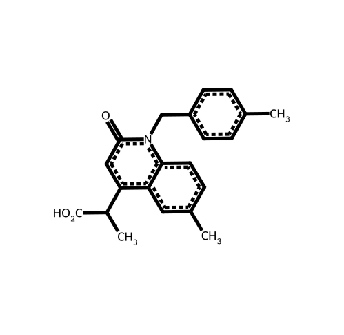 Cc1ccc(Cn2c(=O)cc(C(C)C(=O)O)c3cc(C)ccc32)cc1